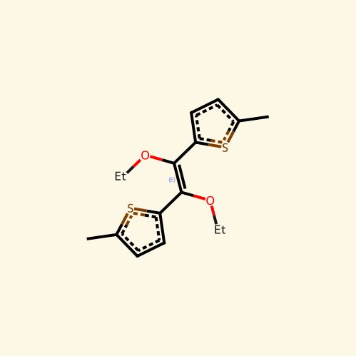 CCO/C(=C(/OCC)c1ccc(C)s1)c1ccc(C)s1